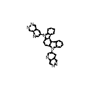 c1ccc2c(c1)c1c3c4ccccc4n(-c4cnc5cnncc5c4)c3ccc1n2-c1cnc2cnncc2c1